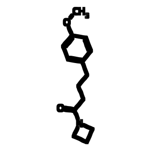 COc1ccc(CCCC(=O)N2CCC2)cc1